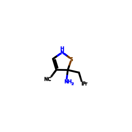 CC(C)CC1(N)SNC=C1C#N